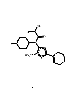 CCCCC(CC)C(=O)N(c1cc(C2=CCCCC2)sc1C(=O)O)C1CCC(F)CC1